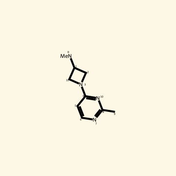 CNC1CN(c2ccnc(C)n2)C1